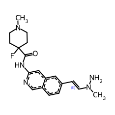 CN(N)/C=C/c1ccc2cnc(NC(=O)C3(F)CCN(C)CC3)cc2c1